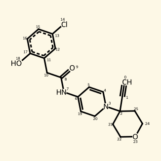 C#CC1(N2C=CC(NC(=O)Cc3cc(Cl)ccc3O)=CC2)CCOCC1